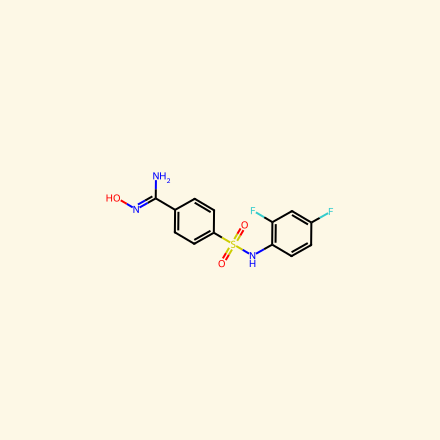 N/C(=N\O)c1ccc(S(=O)(=O)Nc2ccc(F)cc2F)cc1